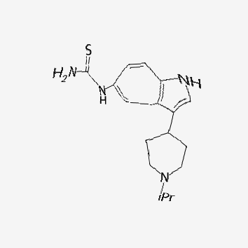 CC(C)N1CCC(c2c[nH]c3ccc(NC(N)=S)cc23)CC1